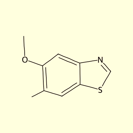 COc1cc2ncsc2cc1C